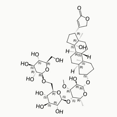 CO[C@@H]1[C@@H](O)[C@H](O[C@H]2CC[C@@]3(C)[C@H](CC[C@@H]4[C@@H]3CC[C@]3(C)[C@@H](C5=CC(=O)OC5)CC[C@]43O)C2)O[C@H](C)[C@@H]1O[C@@H]1O[C@H](CO[C@@H]2O[C@H](CO)[C@@H](O)[C@H](O)[C@H]2O)[C@@H](O)[C@H](O)[C@H]1O